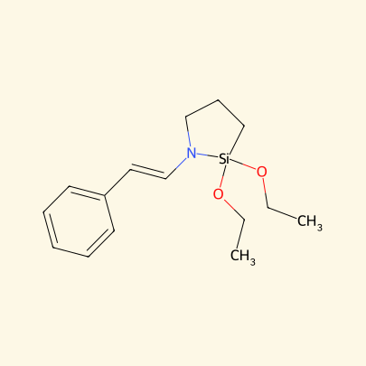 CCO[Si]1(OCC)CCCN1C=Cc1ccccc1